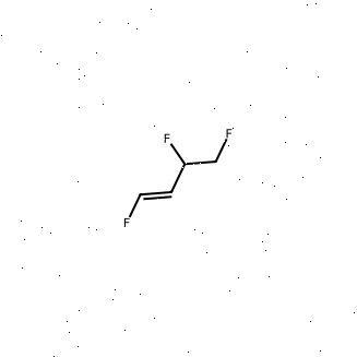 F/C=C/C(F)CF